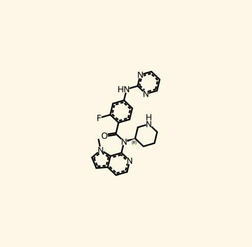 Cn1ccc2ccnc(N(C(=O)c3ccc(Nc4ncccn4)cc3F)[C@@H]3CCCNC3)c21